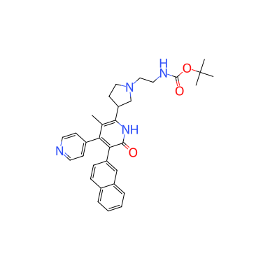 Cc1c(C2CCN(CCNC(=O)OC(C)(C)C)C2)[nH]c(=O)c(-c2ccc3ccccc3c2)c1-c1ccncc1